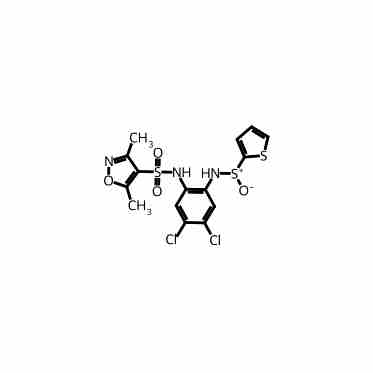 Cc1noc(C)c1S(=O)(=O)Nc1cc(Cl)c(Cl)cc1N[S+]([O-])c1cccs1